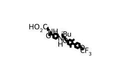 CCC(C)C(COc1cc(C)c(-c2ccc(OC(F)(F)F)cc2)c(C)c1)Nc1ccc(C(=O)NCCC(=O)O)cc1